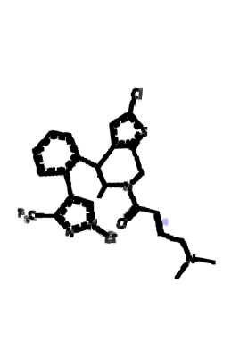 CCn1cc(-c2ccccc2C2c3cc(Cl)sc3CN(C(=O)/C=C/CN(C)C)C2C)c(C(F)(F)F)n1